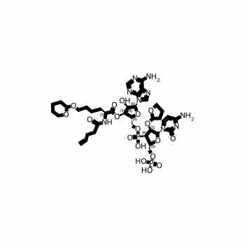 C=CCCC(=O)N[C@@H](CCCCOC1CCCCO1)C(=O)O[C@H]1[C@@H](O)[C@H](n2cnc3c(N)ncnc32)O[C@@H]1COP(=O)(O)[C@H]1[C@@H](OC2CCCO2)[C@H](n2ccc(N)nc2=O)O[C@@H]1COP(=O)(O)O